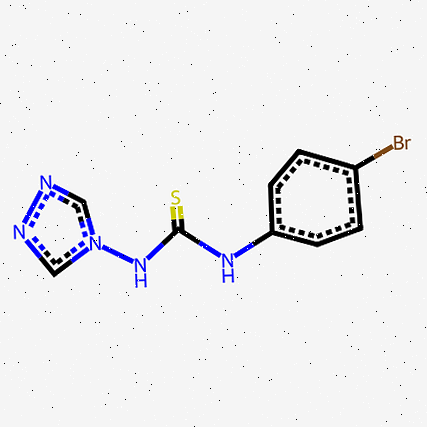 S=C(Nc1ccc(Br)cc1)Nn1cnnc1